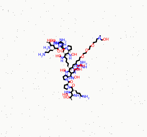 C[C@@H](O)[C@H](N)C(NO)[C@@H](CCCCN)C(=O)N1CCC[C@H]1C(=O)N1CCC[C@H]1C(NO)C(CCCNC(=N)N)C(NO)[C@H](CCCCC(NO)[C@H](CCCNC(=N)N)C(NO)[C@@H]1CCCN1C(=O)[C@@H]1CCCN1C(=O)[C@H](CCCCN)C(NO)[C@@H](N)[C@@H](C)O)C(CC(CCCOCCOCCOCCCN(C)CO)NO)NO